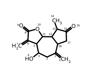 C=C1CC(O)C2C(=C)C(=O)OC2C2C(C)C(=O)CC12